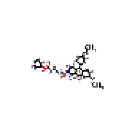 CCCc1ccc(C(c2ccc(CCC)cc2)c2ccc(C(=O)NCCCC(=O)Oc3ccccc3)c(C)c2C)cc1